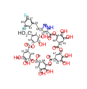 O=C(O)c1cc(O)c(O)c(OC(=O)c2cc(O)c(O)c(OC(=O)c3cc(O)c(O)c(OC(=O)c4cc(O)c(O)c(OC(=O)c5cc(O)c(O)c(OC(=O)c6cc(CCc7cc(F)cc(F)c7)n[nH]6)c5)c4)c3)c2)c1